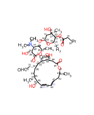 CO[C@@H]1[C@@H](O[C@@H]2O[C@H](C)[C@@H](O[C@H]3C[C@@](C)(O)[C@@H](OC(=O)CC(C)C)[C@H](C)O3)[C@H](N(C)C)[C@H]2O)[C@@H](CC=O)C[C@@H](C)[C@@H](O)/C=C/C=C/C[C@@H](C)OC(=O)C[C@H]1O